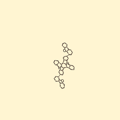 c1ccc2c(c1)oc1c(-c3ccc4c5c6c7ccccc7n7c8cc(-c9cccc%10c9oc9ccccc9%10)ccc8c(c8c9ccccc9n(c4c3)c85)c67)cccc12